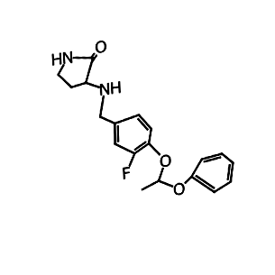 CC(Oc1ccccc1)Oc1ccc(CNC2CCNC2=O)cc1F